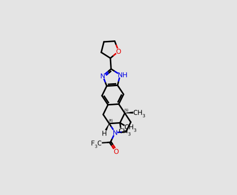 CC1(C)[C@H]2Cc3cc4nc(C5CCCO5)[nH]c4cc3[C@]1(C)CCN2C(=O)C(F)(F)F